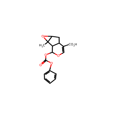 CC12OC1CC1C(C(=O)O)=COC(OC(=O)Oc3ccccc3)C12